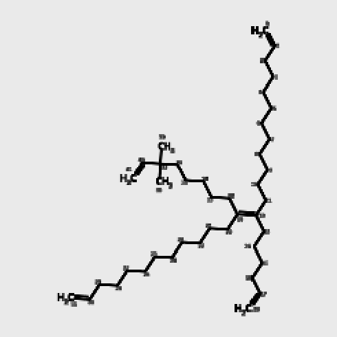 C=CCCCCCCCCCCC(CCCCC=C)=C(CCCCCCCCCCC=C)CCCCCC(C)(C)C=C